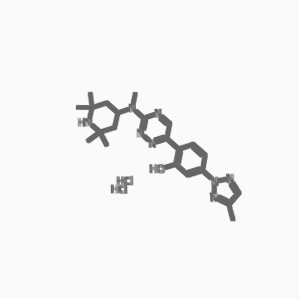 Cc1cnn(-c2ccc(-c3cnc(N(C)C4CC(C)(C)NC(C)(C)C4)nn3)c(O)c2)n1.Cl.Cl